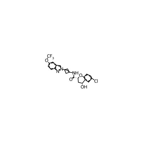 O=C(NC12CC(n3cc4cc(OC(F)(F)F)ccc4n3)(C1)C2)[C@H]1C[C@@H](O)c2cc(Cl)ccc2O1